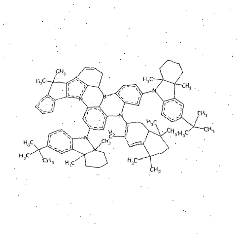 CC1=C(N2c3cc(N4c5ccc(C(C)(C)C)cc5C5(C)CCCCC45C)ccc3B3c4c2cc(N2c5ccc(C(C)(C)C)cc5C5(C)CCCCC25C)cc4-n2c4c(c5c2C3CC=C5)C(C)(C)c2ccccc2-4)CC2C(=C1)C(C)(C)CCC2(C)C